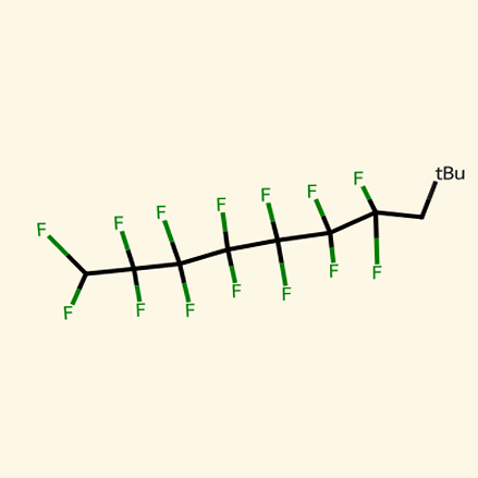 CC(C)(C)CC(F)(F)C(F)(F)C(F)(F)C(F)(F)C(F)(F)C(F)(F)C(F)F